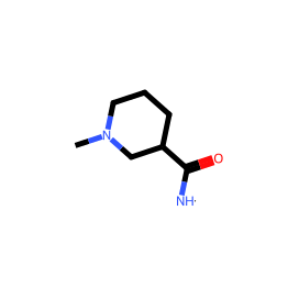 CN1CCCC(C([NH])=O)C1